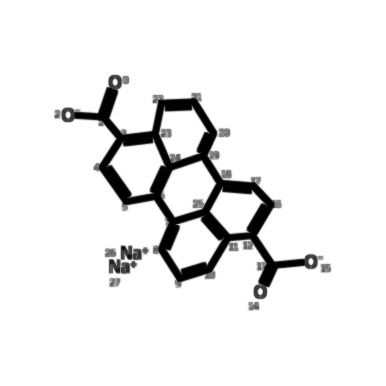 O=C([O-])c1ccc2c3cccc4c(C(=O)[O-])ccc(c5cccc1c52)c43.[Na+].[Na+]